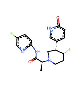 C[C@@H](C(=O)Nc1ccc(F)cn1)N1CC[C@@H](F)[C@@H](c2ccc(=O)[nH]c2)C1